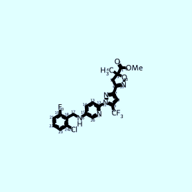 COC(=O)C1(C)CC(c2cc(C(F)(F)F)n(-c3ccc(NCc4c(F)cccc4Cl)cn3)n2)=NO1